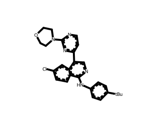 CC(C)(C)c1ccc(Nc2ncc(-c3ccnc(N4CCOCC4)n3)c3cc(Cl)ccc23)cc1